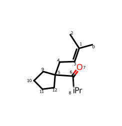 CC(C)=CCC1(C(=O)C(C)C)CCCC1